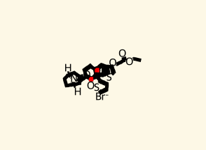 CCOC(=O)COc1ccc2cc(C[N+]3(C)[C@@H]4CC[C@H]3CC(OC(=O)C(O)(c3cccs3)c3cccs3)C4)ccc2c1.[Br-]